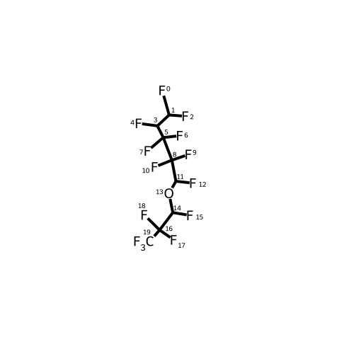 FC(F)C(F)C(F)(F)C(F)(F)C(F)OC(F)C(F)(F)C(F)(F)F